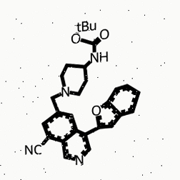 CC(C)(C)OC(=O)NC1CCN(Cc2cc(C#N)c3cncc(-c4cc5ccccc5o4)c3c2)CC1